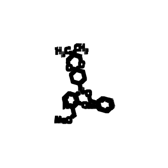 COCc1nccc(N(OCc2ccccc2)C2CCC3(CC2)OCC(C)(C)CO3)c1OC